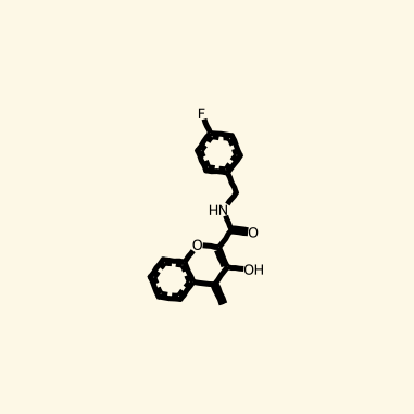 C=C1C(O)=C(C(=O)NCc2ccc(F)cc2)Oc2ccccc21